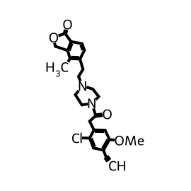 C#Cc1cc(Cl)c(CC(=O)N2CCN(CCc3ccc4c(c3C)COC4=O)CC2)cc1OC